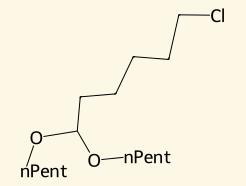 CCCCCOC(CCCCCCl)OCCCCC